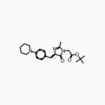 CC1=N/C(=C\c2ccc(N3CCCCC3)cc2)C(=O)N1CC(=O)OC(C)(C)C